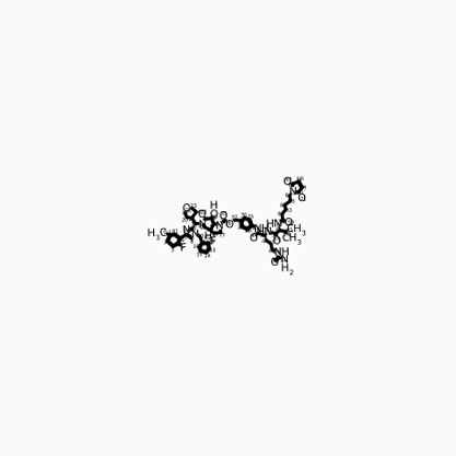 Cc1ccc(F)c(-c2cn(Cc3ccccc3)c([C@@H](C3CCOCC3)N3C[C@@H]4C([C@H](O)C3=O)N(C(=O)OCc3ccc(NC(=O)[C@H](CCCNC(N)=O)NC(=O)[C@@H](NC(=O)CCCCCN5C(=O)C=CC5=O)C(C)C)cc3)C[C@@H]4F)n2)c1